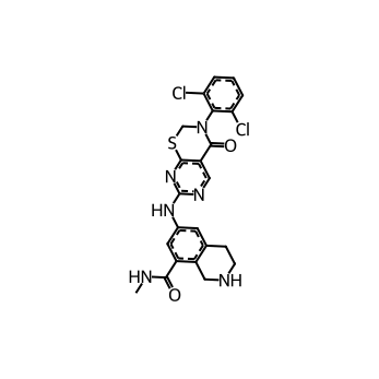 CNC(=O)c1cc(Nc2ncc3c(n2)SCN(c2c(Cl)cccc2Cl)C3=O)cc2c1CNCC2